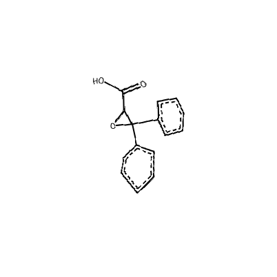 O=C(O)C1OC1(c1ccccc1)c1ccccc1